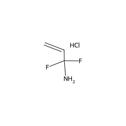 C=CC(N)(F)F.Cl